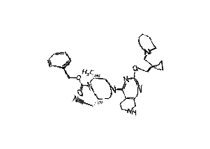 C[C@@H]1CN(c2nc(OCC3(CN4CCCC4)CC3)nc3c2CCNC3)C[C@H](CC#N)N1C(=O)OCc1ccccc1